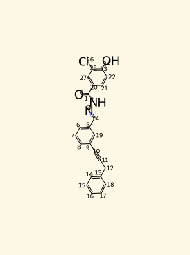 O=C(N/N=C/c1cccc(C#CCc2ccccc2)c1)c1ccc(O)c(Cl)c1